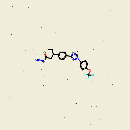 CCC(CC(=O)N=[N+]=[N-])c1ccc(-c2ncn(-c3ccc(OC(F)(F)F)cc3)n2)cc1